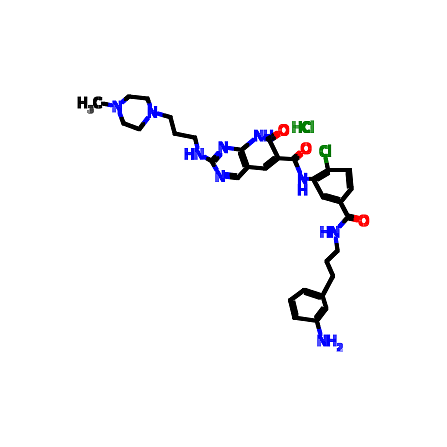 CN1CCN(CCCNc2ncc3cc(C(=O)Nc4cc(C(=O)NCCCc5cccc(N)c5)ccc4Cl)c(=O)[nH]c3n2)CC1.Cl